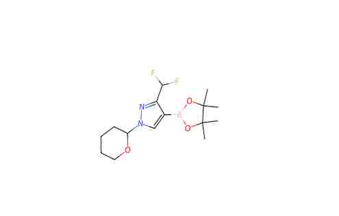 CC1(C)OB(c2cn(C3CCCCO3)nc2C(F)F)OC1(C)C